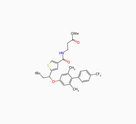 COC(=O)CCNC(=O)c1csc(C(CC(C)(C)C)Oc2cc(C)c(-c3ccc(C(F)(F)F)cc3)c(C)c2)c1